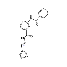 O=C(Nc1cccc(C(=O)N/N=C/c2ccco2)c1)C1=CCCC=C1